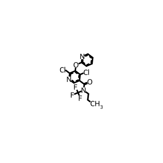 CCCN(C(=O)c1cnc(Cl)c(Oc2ccccn2)c1Cl)C(F)(F)F